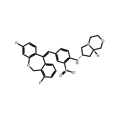 O=[N+]([O-])c1cc(C=C2c3ccc(F)cc3OCc3c(F)cccc32)ccc1N[C@H]1C[C@H]2COCCN2C1